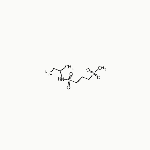 CCC(C)NS(=O)(=O)CCCS(C)(=O)=O